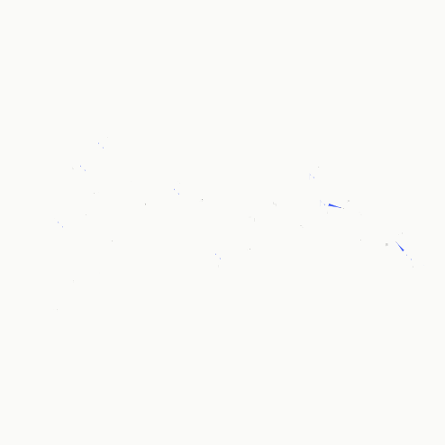 Cc1nc(-c2n[nH]cc2-c2ccc3ncc(-c4cnn([C@H]5CC[C@@H](N)C5)c4)cc3n2)ccc1F